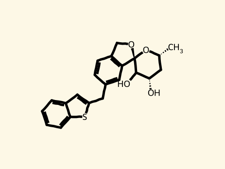 C[C@@H]1C[C@H](O)C(O)[C@@]2(OCc3ccc(Cc4cc5ccccc5s4)cc32)O1